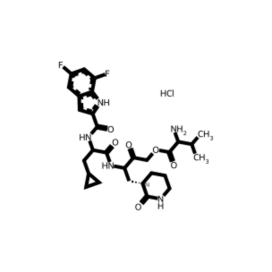 CC(C)C(N)C(=O)OCC(=O)C(C[C@@H]1CCCNC1=O)NC(=O)C(CC1CC1)NC(=O)c1cc2cc(F)cc(F)c2[nH]1.Cl